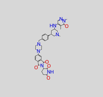 Cc1c(N[C@@H]2C[C@H](c3ccc(CN4CCN(c5ccc6c(c5)C(=O)N(C5CCC(=O)NC5=O)C6=O)CC4)cc3)CN(C)C2)cnn(C)c1=O